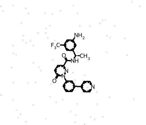 C[C@@H](NC(=O)c1ccc(=O)n(-c2cccc(-c3ccncc3)c2)n1)c1cc(N)cc(C(F)(F)F)c1